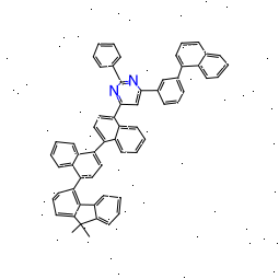 CC1(C)c2ccccc2-c2c(-c3ccc(-c4ccc(-c5cc(-c6cccc(-c7cccc8ccccc78)c6)nc(-c6ccccc6)n5)c5ccccc45)c4ccccc34)cccc21